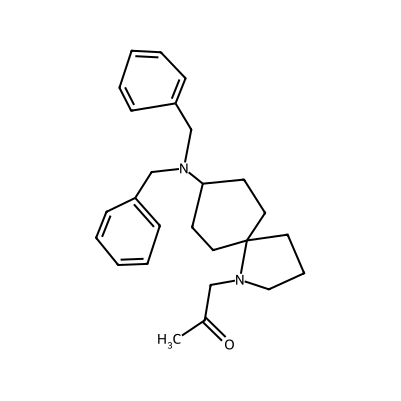 CC(=O)CN1CCCC12CCC(N(Cc1ccccc1)Cc1ccccc1)CC2